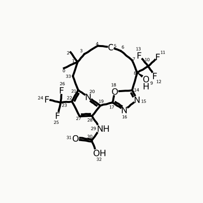 CC1(C)CCCCC[C@](O)(C(F)(F)F)c2nnc(o2)-c2nc(c(C(F)(F)F)cc2NC(=O)O)C1